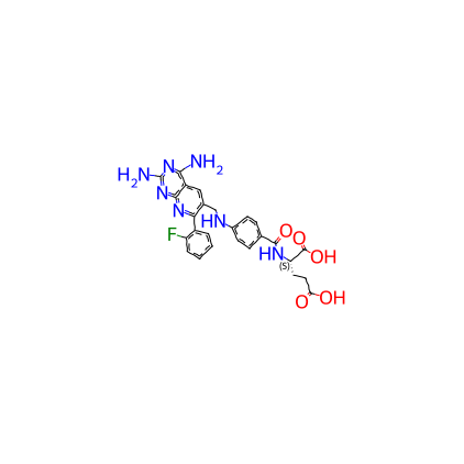 Nc1nc(N)c2cc(CNc3ccc(C(=O)N[C@@H](CCC(=O)O)C(=O)O)cc3)c(-c3ccccc3F)nc2n1